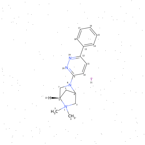 C[N+]1(C)CC2C[C@H]1CN2c1ccc(-c2ccccc2)nn1.[I-]